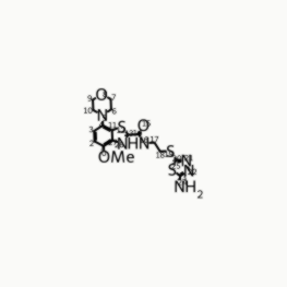 COc1ccc(N2CCOCC2)c2sc(C(=O)NCCSc3nnc(N)s3)nc12